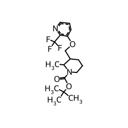 CC1C(COc2cccnc2C(F)(F)F)CCCN1C(=O)OC(C)(C)C